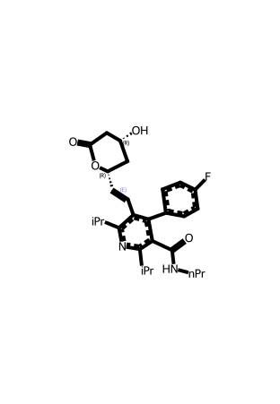 CCCNC(=O)c1c(C(C)C)nc(C(C)C)c(/C=C/[C@H]2C[C@@H](O)CC(=O)O2)c1-c1ccc(F)cc1